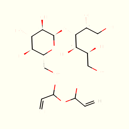 C=CC(O)OC(O)C=C.OC[C@@H](O)[C@@H](O[C@H]1O[C@H](CO)[C@@H](O)[C@H](O)[C@H]1O)[C@H](O)[C@@H](O)CO